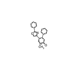 Cn1cc(-c2coc(-c3ccccc3)n2)c(-c2ccccc2)cc1=O